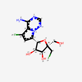 Nc1ncnn2c([C@@H]3O[C@@](CO)(CF)[C@@H](O)[C@H]3O)cc(F)c12